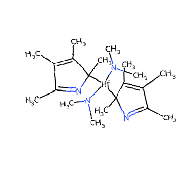 CC1=N[C](C)([Hf]([N](C)C)([N](C)C)[C]2(C)N=C(C)C(C)=C2C)C(C)=C1C